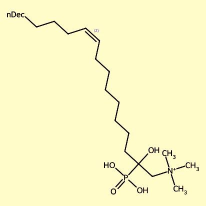 CCCCCCCCCCCCC/C=C\CCCCCCCC(O)(C[N+](C)(C)C)P(=O)(O)O